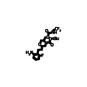 CC(C)(C)OC(=O)N1CC(CCc2c(N)cccc2F)OCC1COC(=O)NCC(F)(F)F